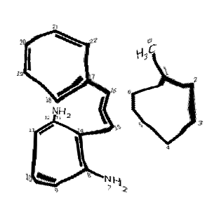 CC1CCCCC1.Nc1cccc(N)c1/C=C\c1ccccc1